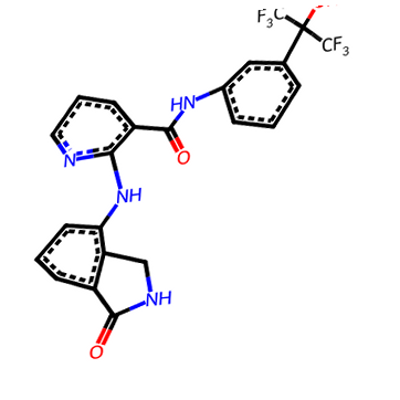 O=C(Nc1cccc(C(O)(C(F)(F)F)C(F)(F)F)c1)c1cccnc1Nc1cccc2c1CNC2=O